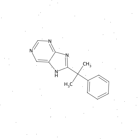 CC(C)(c1ccccc1)c1nc2ncncc2[nH]1